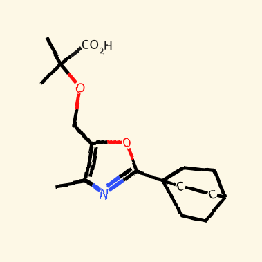 Cc1nc(C23CCC(CC2)CC3)oc1COC(C)(C)C(=O)O